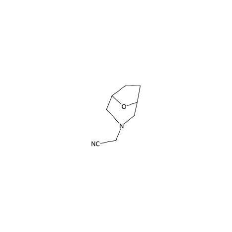 N#CCN1CC2CCC(C1)O2